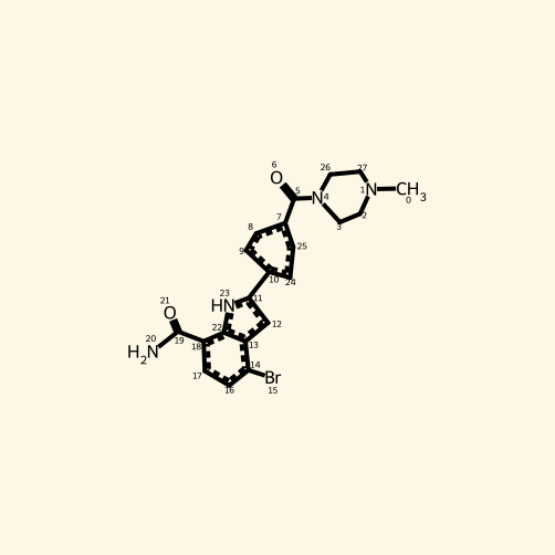 CN1CCN(C(=O)c2ccc(-c3cc4c(Br)ccc(C(N)=O)c4[nH]3)cc2)CC1